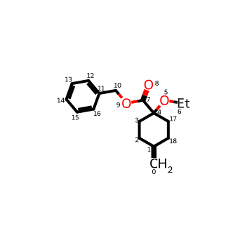 C=C1CCC(OCC)(C(=O)OCc2ccccc2)CC1